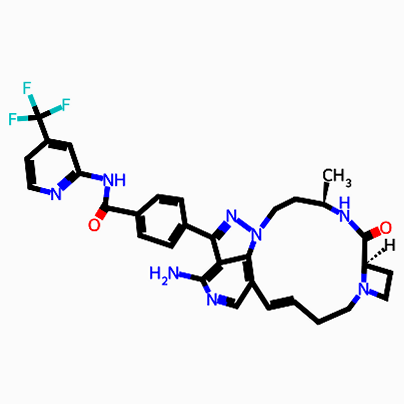 C[C@@H]1CCn2nc(-c3ccc(C(=O)Nc4cc(C(F)(F)F)ccn4)cc3)c3c(N)ncc(c32)/C=C/CCN2CC[C@@H]2C(=O)N1